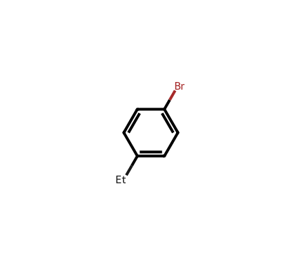 [CH2]Cc1ccc(Br)cc1